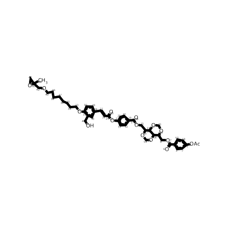 CC(=O)Oc1ccc(C(=O)OCC2OCOC3C(COC(=O)c4ccc(OC(=O)/C=C/c5ccc(OCCCCCCCCOCC6(C)CO6)c(CO)c5)cc4)OCOC23)cc1